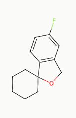 Fc1ccc2c(c1)COC21CCCCC1